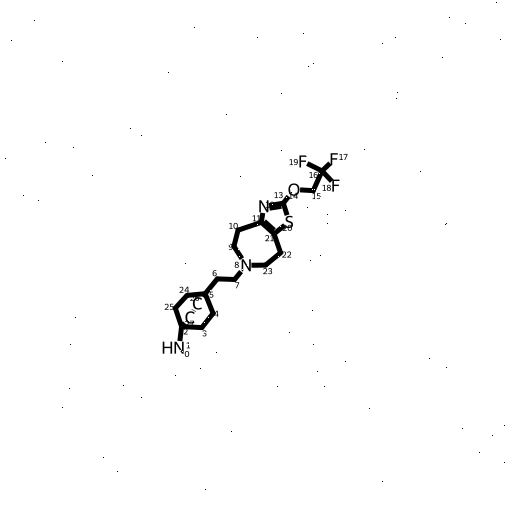 CNC12CCC(CCN3CCc4nc(OCC(F)(F)F)sc4CC3)(CC1)CC2